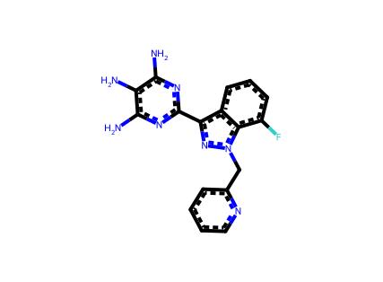 Nc1nc(-c2nn(Cc3ccccn3)c3c(F)cccc23)nc(N)c1N